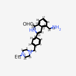 CCN1CCN(Cc2ccc(C3=Cc4c(CN)cccc4C(C=O)N3)cc2)CC1